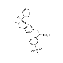 CN(Cc1ccc(OC(C(=O)O)c2cccc(S(C)(=O)=O)c2)cc1)S(=O)(=O)c1ccccc1